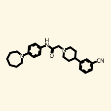 N#Cc1cccc(C2CCN(CC(=O)Nc3ccc(N4CCCCCC4)cc3)CC2)c1